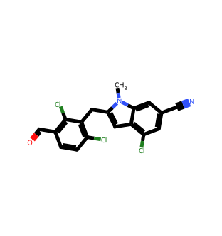 Cn1c(Cc2c(Cl)ccc(C=O)c2Cl)cc2c(Cl)cc(C#N)cc21